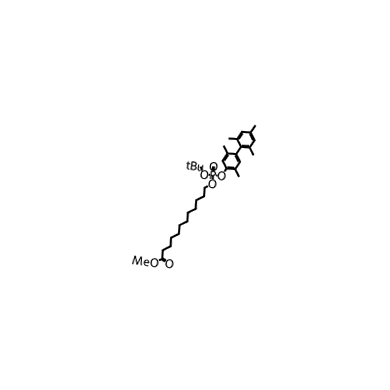 COC(=O)CCCCCCCCCCCOP(=O)(Oc1cc(C)c(-c2c(C)cc(C)cc2C)cc1C)OC(C)(C)C